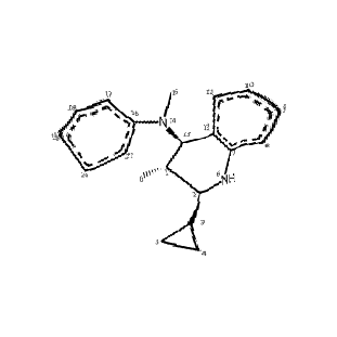 C[C@H]1[C@H](C2CC2)Nc2ccccc2[C@@H]1N(C)c1ccccc1